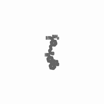 CS(=O)(=O)c1ccccc1-c1ccc(NC(=O)CCCc2cccc(C(=N)N)c2)cc1